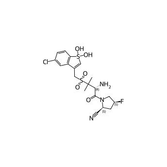 CC(C)([C@H](N)C(=O)N1C[C@@H](F)C[C@H]1C#N)S(=O)(=O)CC1=CS(O)(O)c2ccc(Cl)cc21